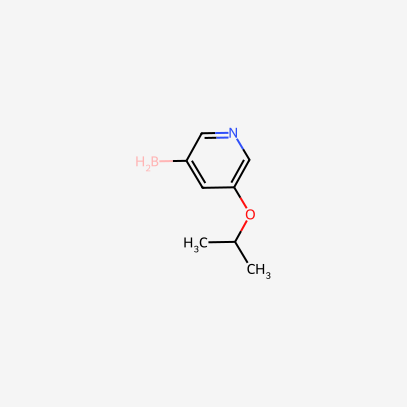 Bc1cncc(OC(C)C)c1